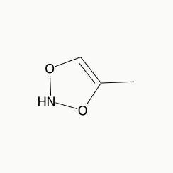 CC1=CONO1